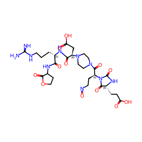 N=C(N)NCCC[C@H](NC(=O)[C@@H](CC(=O)O)N1CCN(C(=O)[C@H](CCN=O)N2C(=O)N[C@H](CCC(=O)O)C2=O)CC1)C(=O)NC1CCOC1=O